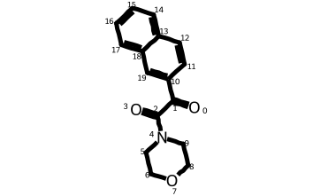 O=C(C(=O)N1CCOCC1)c1ccc2ccccc2c1